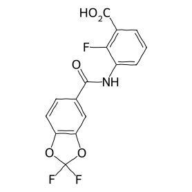 O=C(Nc1cccc(C(=O)O)c1F)c1ccc2c(c1)OC(F)(F)O2